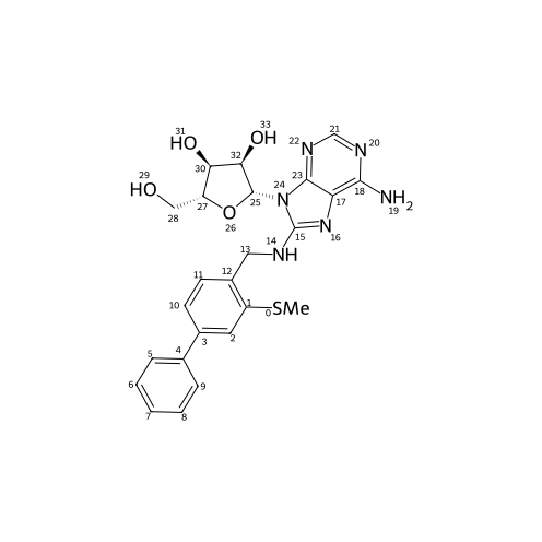 CSc1cc(-c2ccccc2)ccc1CNc1nc2c(N)ncnc2n1[C@@H]1O[C@H](CO)[C@@H](O)[C@H]1O